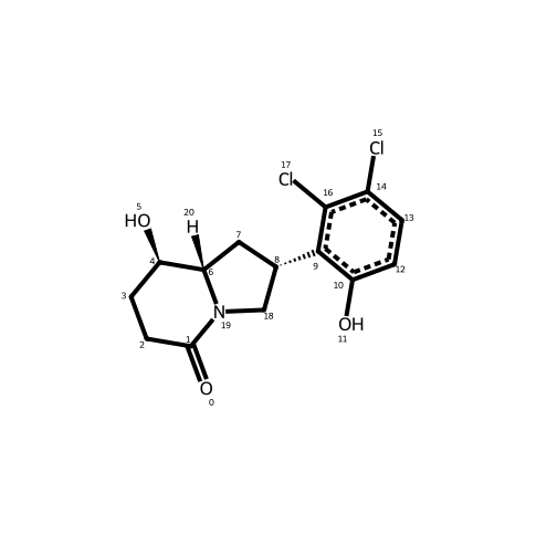 O=C1CC[C@@H](O)[C@@H]2C[C@H](c3c(O)ccc(Cl)c3Cl)CN12